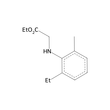 CCOC(=O)CNc1c(C)cccc1CC